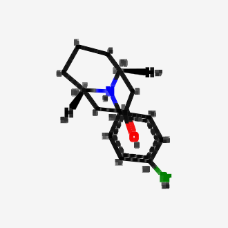 O=C1C[C@H]2CCC[C@@H](C1)N2c1ccc(Br)cc1